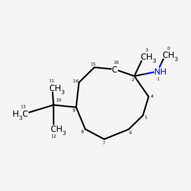 CNC1(C)CCCCCC(C(C)(C)C)CCC1